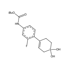 CC(C)COC(=O)Nc1ccc(C2=CCS(O)(O)CC2)c(F)c1